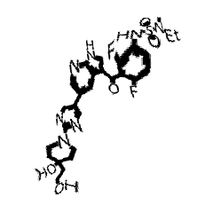 CCN(C)S(=O)(=O)Nc1ccc(F)c(C(=O)c2c[nH]c3ncc(-c4cnc(N5CCC(O)(CCO)CC5)nc4)cc23)c1F